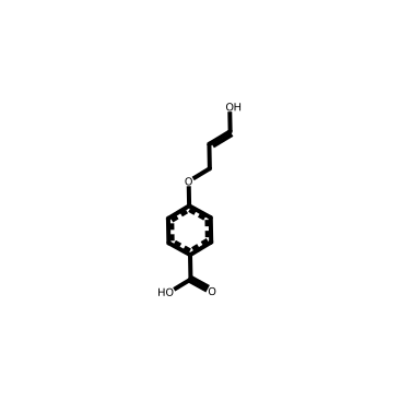 O=C(O)c1ccc(OCC=CO)cc1